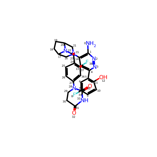 Nc1nnc(-c2cc(F)ccc2O)cc1N1CC2CCC(C1)N2Cc1ccc(N2CCC(=O)NC2=O)cc1F